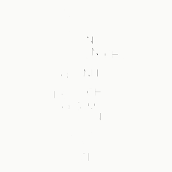 Cn1nc(-c2ccccc2)cc1NC(=O)C(C)(C)S(=O)(=O)c1ccc(Cl)cc1F